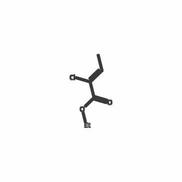 C/C=C(\Cl)C(=O)OCC